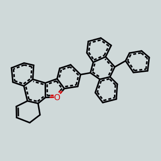 C1=Cc2c(c3oc4cc(-c5c6ccccc6c(-c6ccccc6)c6ccccc56)ccc4c3c3ccccc23)CC1